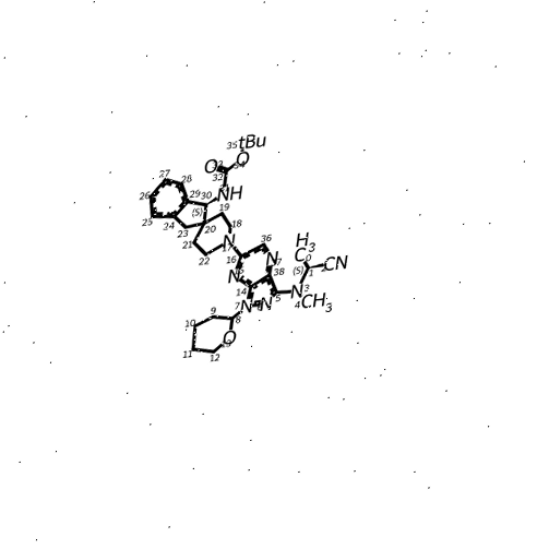 C[C@@H](C#N)N(C)c1nn(C2CCCCO2)c2nc(N3CCC4(CC3)Cc3ccccc3[C@H]4NC(=O)OC(C)(C)C)cnc12